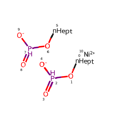 CCCCCCCO[PH](=O)[O-].CCCCCCCO[PH](=O)[O-].[Ni+2]